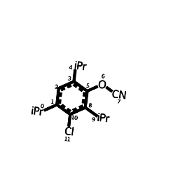 CC(C)c1cc(C(C)C)c(OC#N)c(C(C)C)c1Cl